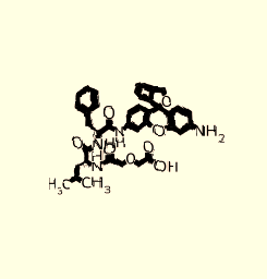 CC(C)C[C@H](NC(=O)COCC(=O)O)C(=O)N[C@@H](Cc1ccccc1)C(=O)Nc1ccc2c(c1)Oc1cc(N)ccc1C21OCc2ccccc21